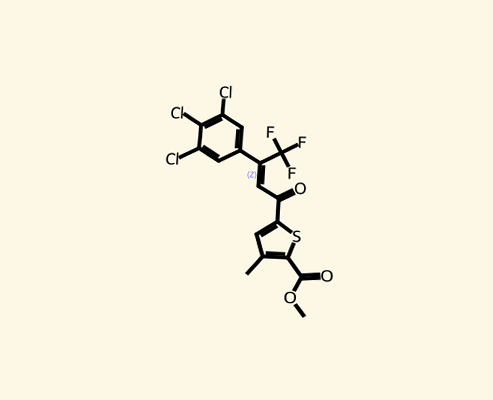 COC(=O)c1sc(C(=O)/C=C(/c2cc(Cl)c(Cl)c(Cl)c2)C(F)(F)F)cc1C